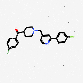 O=C(c1ccc(Cl)cc1)C1CCN(Cc2ccnc(-c3ccc(F)cc3)c2)CC1